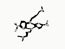 CN(C)CCCN1c2ccc([N+](=O)[O-])nc2N(CCCN(C)C)c2ccc([N+](=O)[O-])nc21